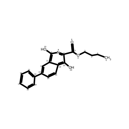 CCCCOC(=O)c1nc(O)c2cc(-c3ccccc3)ccc2c1O